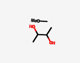 CC(O)C(C)O.COC